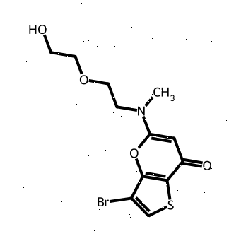 CN(CCOCCO)c1cc(=O)c2scc(Br)c2o1